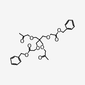 CC(=O)COCC(COCC(C)=O)(COCC(=O)OCc1ccccc1)COCC(=O)OCc1ccccc1